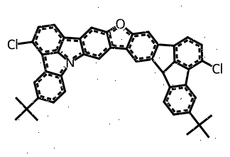 CC(C)(C)c1ccc2c(c1)-c1c(Cl)ccc3c1C2c1cc2c(cc1-3)oc1cc3c4ccc(Cl)c5c6cc(C(C)(C)C)ccc6n(c3cc12)c45